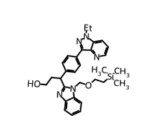 CCn1nc(-c2ccc(C(CCO)c3nc4ccccc4n3COCC[Si](C)(C)C)cc2)c2ncccc21